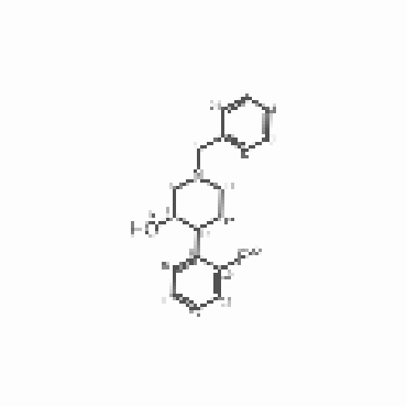 OC1CN(Cc2ccccc2)CCC1c1ccccc1F